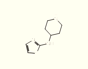 c1csc(NC2CCNCC2)n1